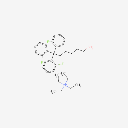 CC[N+](CC)(CC)CC.[BH3-]CCCCCC(c1ccccc1F)(c1ccccc1F)c1ccccc1F